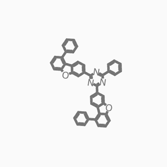 c1ccc(-c2nc(-c3ccc4c(c3)oc3cccc(-c5ccccc5)c34)nc(-c3ccc4c(c3)oc3cccc(-c5ccccc5)c34)n2)cc1